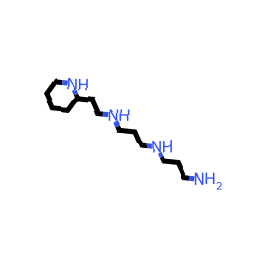 NCCCNCCCNCCC1CCCCN1